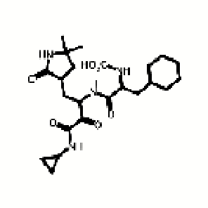 CC1(C)CC(CC(NC(=O)C(CC2CCCCC2)NC(=O)O)C(=O)C(=O)NC2CC2)C(=O)N1